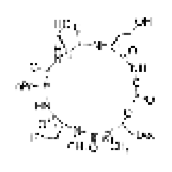 CCCCCCCCCCC1OC(=O)CNC(=O)[C@H](CCO)NC(=O)[C@H](CO)NC(=O)[C@H](CCC)NC(=O)[C@H](CC(C)C)N(C)C(=O)[C@@H]1C